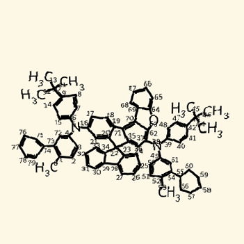 Cc1ccc(N(c2ccc(C(C)(C)C)cc2)c2ccc3c(c2)C2(c4ccccc4-c4ccccc42)c2cc(N(c4ccc(C(C)(C)C)cc4)c4ccc(C)c(C5CCCCC5)c4)c4oc5ccccc5c4c2-3)cc1-c1ccccc1